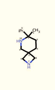 CC(C)C1(C)CCC2(CNC2)CN1